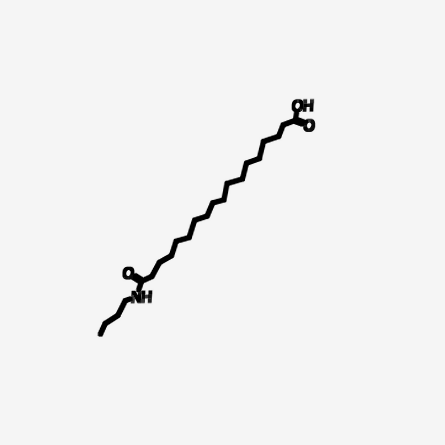 CCCCNC(=O)CCCCCCCCCCCCCCCCC(=O)O